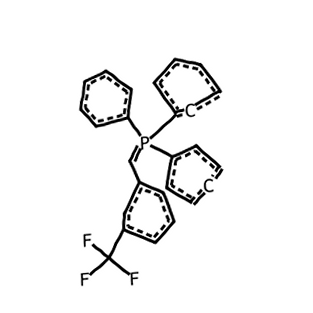 FC(F)(F)c1cccc(C=P(c2ccccc2)(c2ccccc2)c2ccccc2)c1